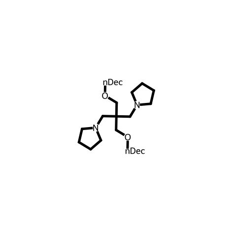 CCCCCCCCCCOCC(COCCCCCCCCCC)(CN1CCCC1)CN1CCCC1